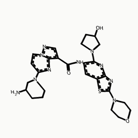 NC1CCCN(c2ccn3ncc(C(=O)Nc4cc5sc(N6CCOCC6)nc5nc4N4CCC(O)C4)c3n2)C1